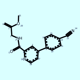 C=C(CNC(=O)c1cc(-c2ccc(C#N)cc2)ccn1)OC